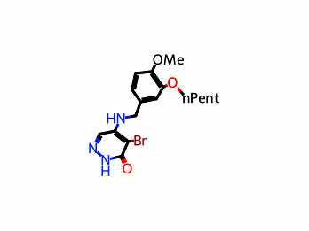 CCCCCOc1cc(CNc2cn[nH]c(=O)c2Br)ccc1OC